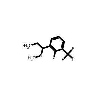 [CH2]CC(SC)c1cccc(C(F)(F)F)c1F